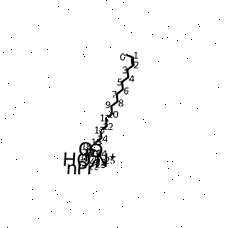 C/C=C\CCCCCCCCCCCCCOP(=O)(O)C(CCC)[N+](C)(C)C